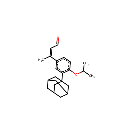 C/C(=C/C=O)c1ccc(OC(C)C)c(C23CC4CC(CC(C4)C2)C3)c1